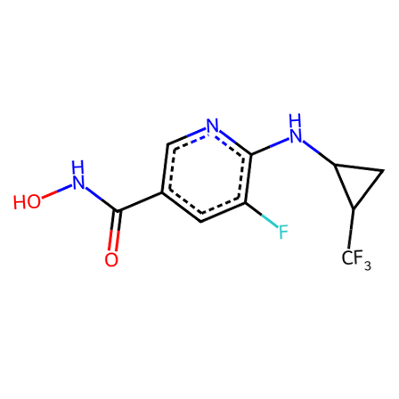 O=C(NO)c1cnc(NC2CC2C(F)(F)F)c(F)c1